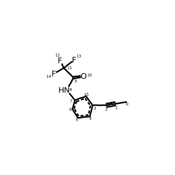 CC#Cc1cccc(NC(=O)C(F)(F)F)c1